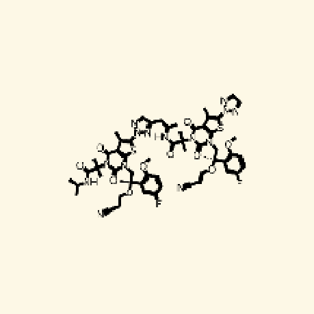 COc1ccc(F)cc1[C@@](C)(Cn1c(=O)n(C(C)(C)C(=O)NC(C)C)c(=O)c2c(C)c(-n3ncc(CC(C)NC(=O)C(C)(C)n4c(=O)c5c(C)c(-n6nccn6)sc5n(C[C@](C)(OCCC#N)c5cc(F)ccc5OC)c4=O)n3)sc21)OCCC#N